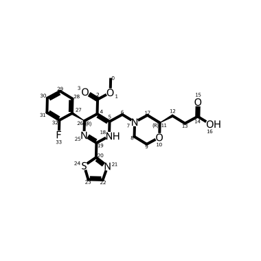 COC(=O)C1=C(CN2CCO[C@H](CCC(=O)O)C2)NC(c2nccs2)=N[C@H]1c1ccccc1F